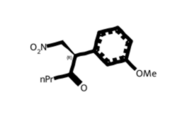 CCCC(=O)[C@@H](C[N+](=O)[O-])c1cccc(OC)c1